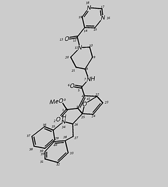 COC(=O)C1=C(C(=O)NC2CCN(C(=O)c3cncnc3)CC2)C2C=CC1(C(Cc1ccccc1)Nc1ccccc1)O2